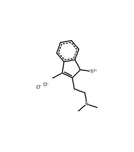 CC1=C(CCN(C)C)[CH]([Ti+2])c2ccccc21.[Cl-].[Cl-]